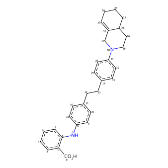 O=C(O)c1ccccc1Nc1ccc(CCc2ccc(N3CCC4CCCC=C4C3)cc2)cc1